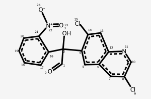 O=CC(O)(c1cc2cc(Cl)cnc2cc1Cl)c1ccccc1[N+](=O)[O-]